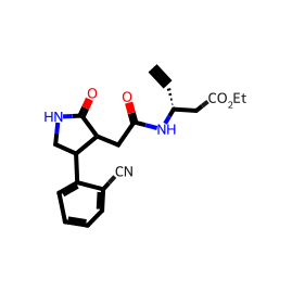 C#C[C@H](CC(=O)OCC)NC(=O)CC1C(=O)NCC1c1ccccc1C#N